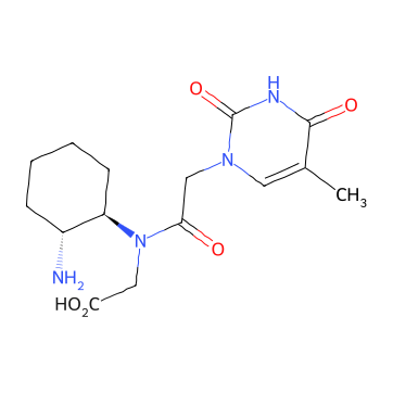 Cc1cn(CC(=O)N(CC(=O)O)[C@@H]2CCCC[C@H]2N)c(=O)[nH]c1=O